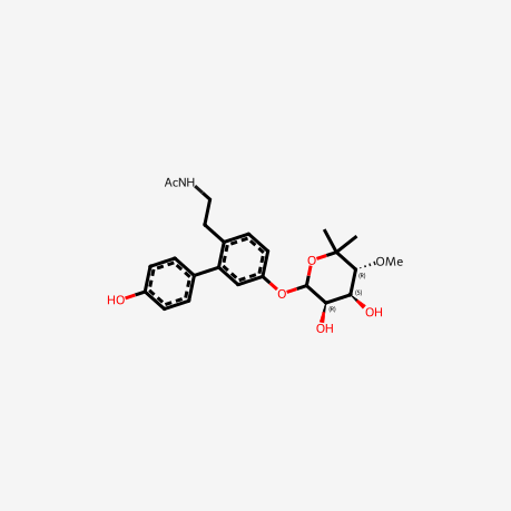 CO[C@@H]1[C@@H](O)[C@@H](O)C(Oc2ccc(CCNC(C)=O)c(-c3ccc(O)cc3)c2)OC1(C)C